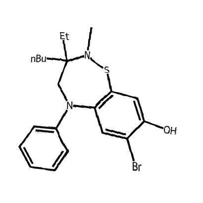 CCCCC1(CC)CN(c2ccccc2)c2cc(Br)c(O)cc2SN1C